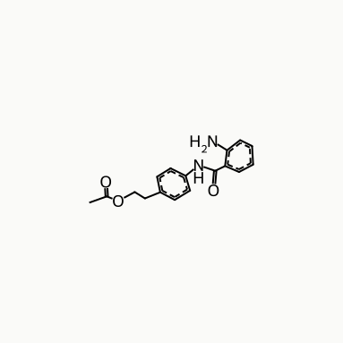 CC(=O)OCCc1ccc(NC(=O)c2ccccc2N)cc1